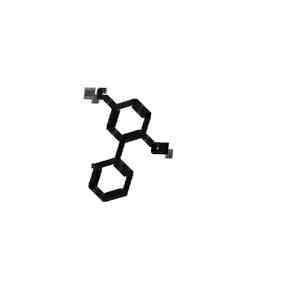 Cc1ccc(C)c(-c2[c]cccc2)c1